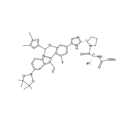 C=Cc1c2n(c3ccc(B4OC(C)(C)C(C)(C)O4)cc13)C(c1cc(C)c(C)s1)Oc1cc(-c3cnc([C@@H]4CCCN4C(=O)[C@H](NC(=O)OC)C(C)C)[nH]3)cc(F)c1-2